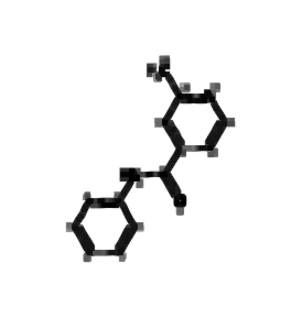 O=C(Nc1ccccc1)c1ccnc(C(F)(F)F)c1